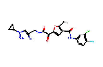 Cc1oc(C(=O)C(=O)NC/C(N)=C/N(N)C2CC2)cc1C(=O)Nc1ccc(F)c(Cl)c1